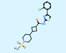 CS(=O)(=O)N1CCC(C2CC(C(=O)Nc3nc(-c4ccccc4Cl)cs3)C2)CC1